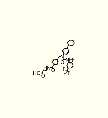 O=C(O)CCNC(=O)c1ccc(CN(C(=O)Nc2cc(C(F)(F)F)ccc2F)c2ccc(C3CCCCC3)cc2)cc1